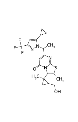 Cc1sc2nc(C(C)n3nc(C(F)(F)F)cc3C3CC3)cc(=O)n2c1C1(C)CC1CO